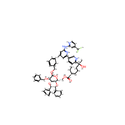 Cc1cc(Nc2cc(C(F)F)ccn2)nc(-c2ccc([C@](C)(O)[C@H]3CC[C@H](C(=O)OC[C@H]4OC(OCc5ccccc5)[C@H](OCc5ccccc5)[C@@H](OCc5ccccc5)[C@@H]4OCc4ccccc4)CC3)nc2)c1